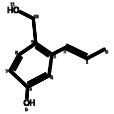 C/C=C/c1[c]c(O)ccc1CO